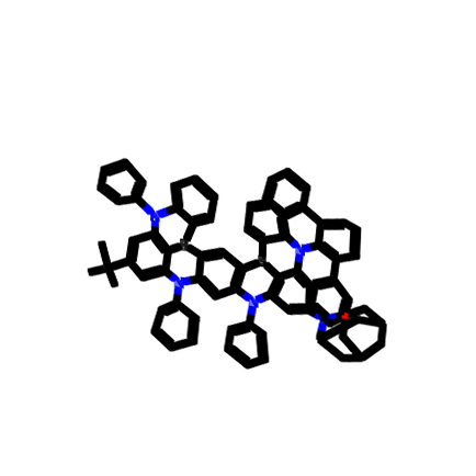 CC(C)(C)c1cc2c3c(c1)N(c1ccccc1)c1cc4c(cc1B3c1ccccc1N2c1ccccc1)B1c2ccccc2N(c2c(-c3ccccc3)cccc2-c2ccccc2)c2cc(N3C5CC6CC(C5)CC3C6)cc(c21)N4c1ccccc1